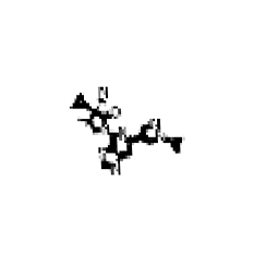 C[C@@H]1CN(c2nc(-c3cnn(C4CC4)c3)cc3ncsc23)C(=O)[C@]1(C#N)C1CC1